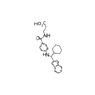 O=C(O)CCNC(=O)c1ccc(NC(c2cc3ccccc3s2)C2CCCCC2)cc1